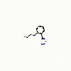 CCCCc1ccccc1-c1nnco1